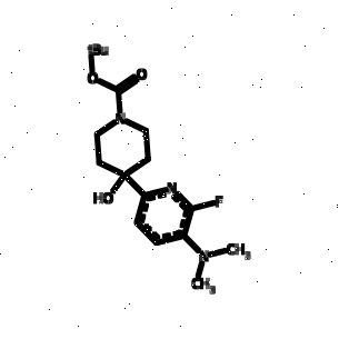 CN(C)c1ccc(C2(O)CCN(C(=O)OC(C)(C)C)CC2)nc1F